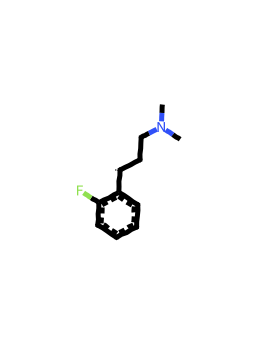 CN(C)CC[CH]c1ccccc1F